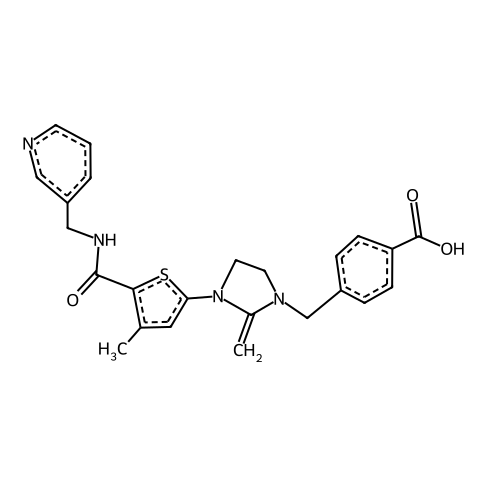 C=C1N(Cc2ccc(C(=O)O)cc2)CCN1c1cc(C)c(C(=O)NCc2cccnc2)s1